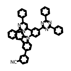 N#Cc1cccc(-c2ccc3c(c2)c2ccccc2n3-c2ccc(-c3nc(-c4ccccc4)nc(-c4ccccc4)n3)cc2-c2cc(-c3ccccc3)nc(-c3ccccc3)n2)c1